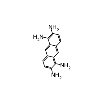 Nc1ccc2cc3c(N)c(N)ccc3cc2c1N